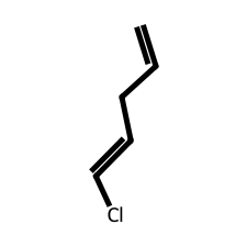 C=CCC=CCl